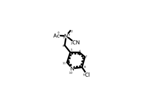 CC(=O)[N+](C)(C#N)Cc1ccc(Cl)nc1